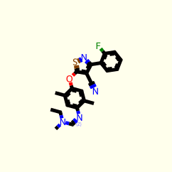 CCN(C)/C=N\c1cc(C)c(Oc2snc(-c3ccccc3F)c2C#N)cc1C